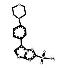 NS(=O)(=O)c1nn2c(-c3ccc(N4CCOCC4)cc3)cnc2s1